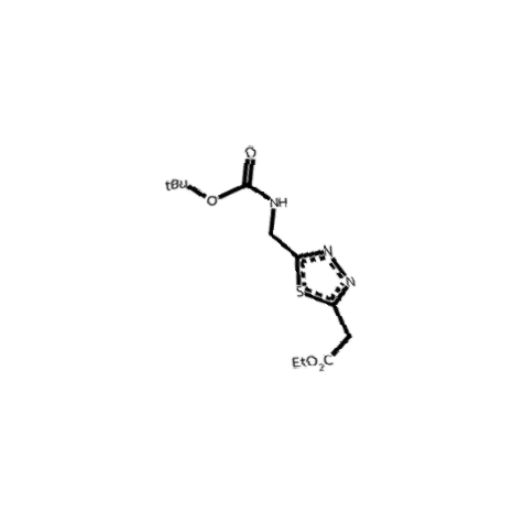 CCOC(=O)Cc1nnc(CNC(=O)OC(C)(C)C)s1